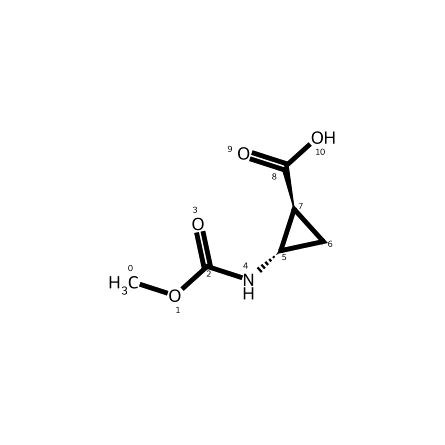 COC(=O)N[C@H]1C[C@@H]1C(=O)O